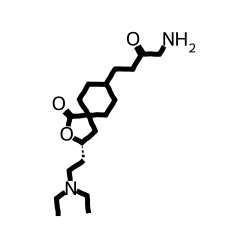 CCN(CC)CC[C@H]1CC2(CCC(CCC(=O)CN)CC2)C(=O)O1